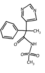 CC(C(=O)NS(C)(=O)=O)(c1ccccc1)c1cncnc1